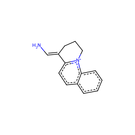 N/C=C1\CCC[n+]2c1ccc1ccccc12